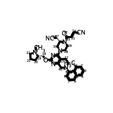 Cc1cccc2cccc(N3CCc4c(nc(OC[C@@H]5CCCN5C)nc4N4CCN(C(=O)/C=C/C#N)[C@@H](CC#N)C4)C3)c12